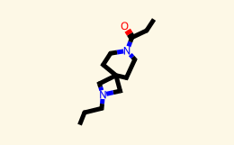 CCCN1CC2(CCN(C(=O)CC)CC2)C1